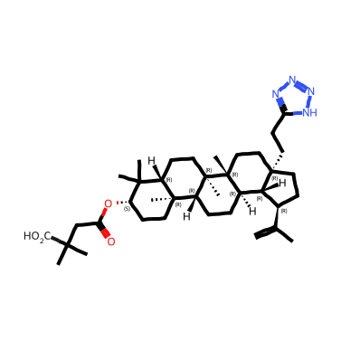 C=C(C)[C@@H]1CC[C@]2(CCc3nnn[nH]3)CC[C@]3(C)[C@H](CC[C@@H]4[C@@]5(C)CC[C@H](OC(=O)CC(C)(C)C(=O)O)C(C)(C)[C@@H]5CC[C@]43C)[C@@H]12